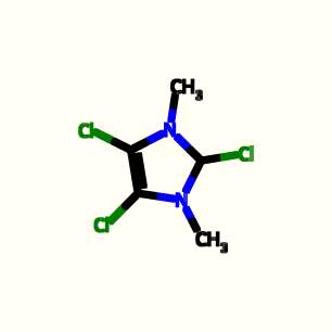 CN1C(Cl)=C(Cl)N(C)C1Cl